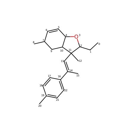 CCC1OC2C=CC(C)CC2C1(C)/C=C(\C)c1ccc(C)cc1